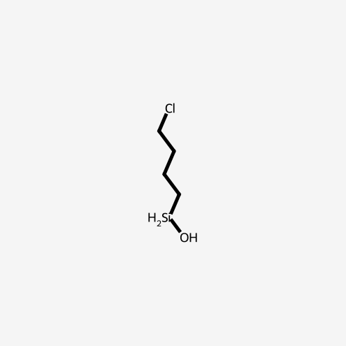 O[SiH2]CCCCCl